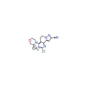 C[C@H]1COCCN1c1nc(Cl)nc2c1CCn1nc(C#N)cc1-2